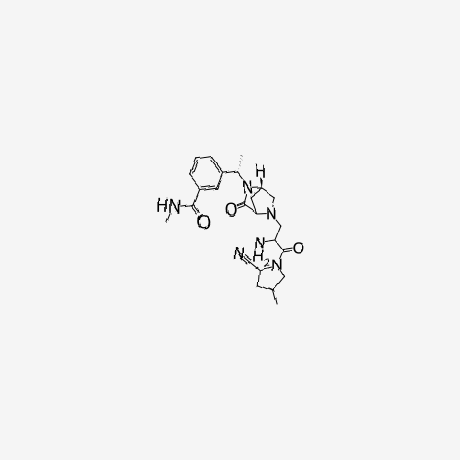 CNC(=O)c1cccc([C@H](C)N2C(=O)C3C[C@H]2CN3CC(N)C(=O)N2CC(C)CC2C#N)c1